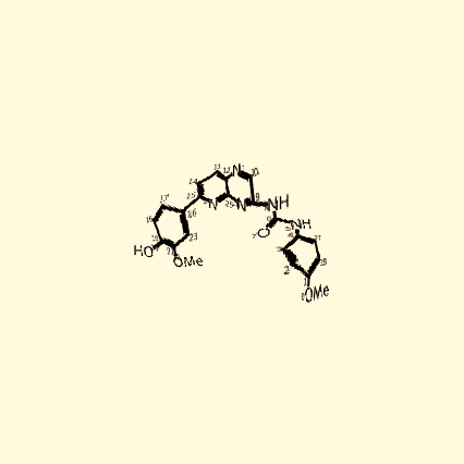 COc1ccc(NC(=O)Nc2cnc3ccc(-c4ccc(O)c(OC)c4)nc3n2)cc1